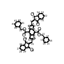 O=C1C(=Cc2cc3c(C(=O)OCc4ccccc4)c4sc(C=C5C(=O)c6ccccc6C5=O)cc4c(C(=O)OCc4ccccc4)c3s2)C(=O)c2ccccc21